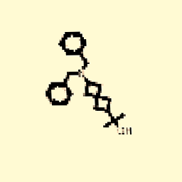 CC(C)(O)C1CC2(CC(N(Cc3ccccc3)Cc3ccccc3)C2)C1